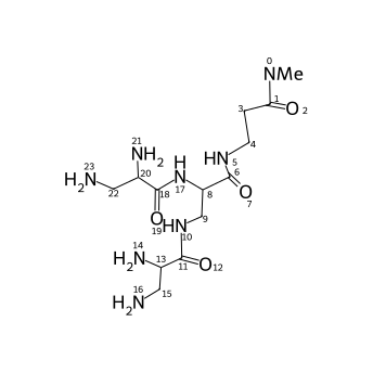 CNC(=O)CCNC(=O)C(CNC(=O)C(N)CN)NC(=O)C(N)CN